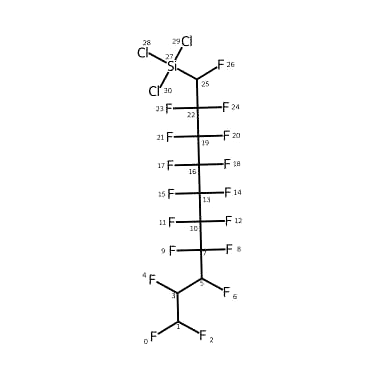 FC(F)C(F)C(F)C(F)(F)C(F)(F)C(F)(F)C(F)(F)C(F)(F)C(F)(F)C(F)[Si](Cl)(Cl)Cl